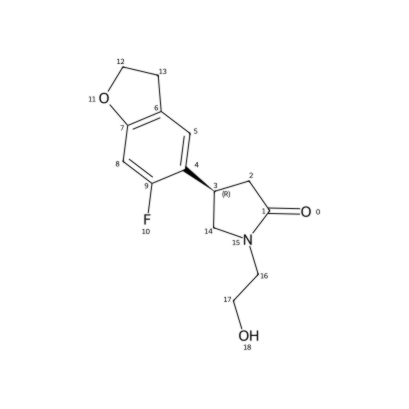 O=C1C[C@H](c2cc3c(cc2F)OCC3)CN1CCO